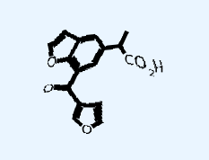 CC(C(=O)O)c1cc(C(=O)c2ccoc2)c2occc2c1